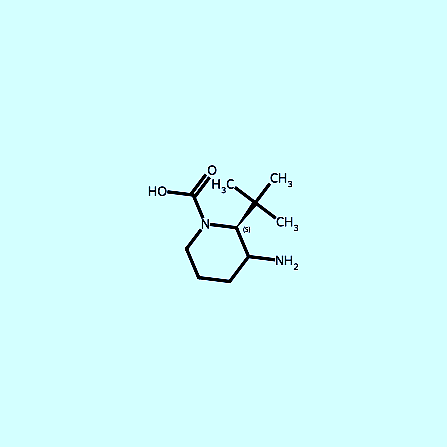 CC(C)(C)[C@H]1C(N)CCCN1C(=O)O